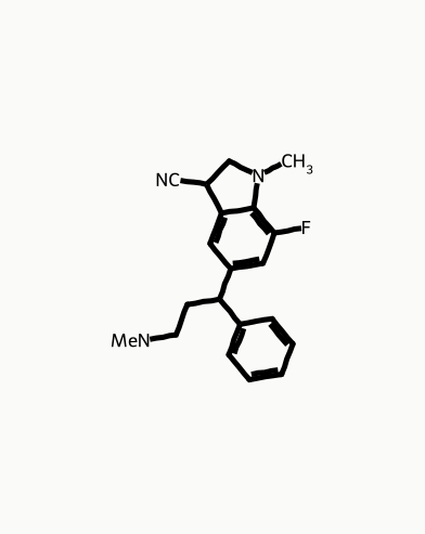 CNCCC(c1ccccc1)c1cc(F)c2c(c1)C(C#N)CN2C